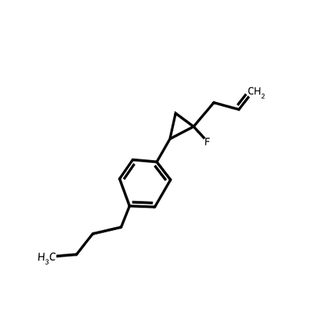 C=CCC1(F)CC1c1ccc(CCCC)cc1